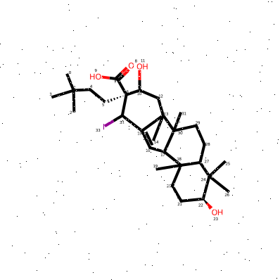 CC(C)(C)CC[C@]1(C(=O)O)C(O)CC2(C)C(=CC3C4(C)CC[C@H](O)C(C)(C)C4CCC32C)C1I